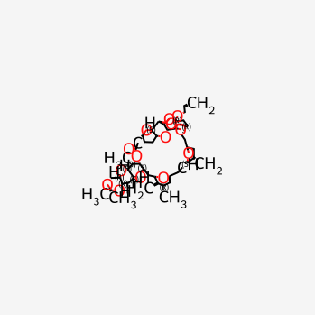 C=CCO[C@]12C[C@]34CCC5CC(=C)[C@H](CCC6C[C@@H](C)C(=C)C(C[C@@H]7O[C@H]8C[C@H]9OC(C)(C)OC[C@H]9O[C@H]8[C@H](C)C7OC(=O)CC7CCC8OC(C(O1)C(O3)[C@H]8O7)C2O4)O6)O5